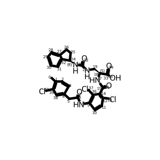 Cc1ccc(CC(=O)Nc2ccc(Cl)c(C(=O)N[C@@H](CNC(=O)N[C@@H]3CCc4ccccc43)C(=O)O)c2Cl)cc1Cl